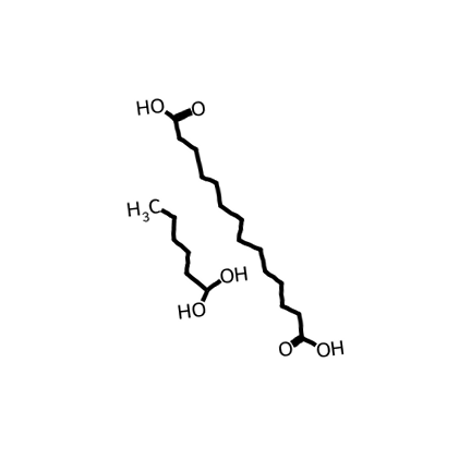 CCCCCC(O)O.O=C(O)CCCCCCCCCCCCC(=O)O